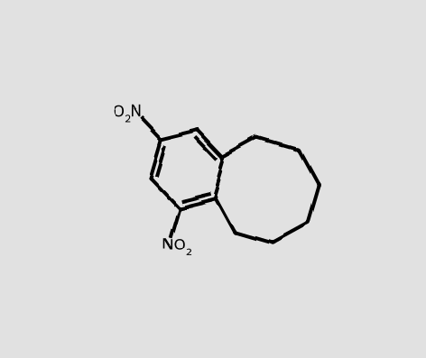 O=[N+]([O-])c1cc2c(c([N+](=O)[O-])c1)CCCCCC2